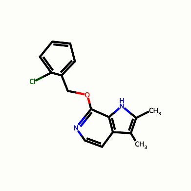 Cc1[nH]c2c(OCc3ccccc3Cl)nccc2c1C